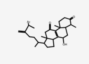 C=C(CCC(C)C1CCC2C3=C(C(=O)CC21C)C1(C)CCC(=O)C(C)C1CC3O)C(C)C(C)=O